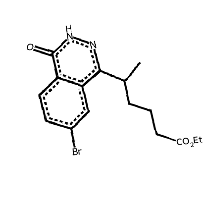 CCOC(=O)CCCC(C)c1n[nH]c(=O)c2ccc(Br)cc12